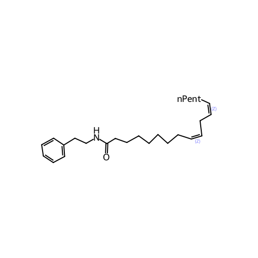 CCCCC/C=C\C/C=C\CCCCCCCC(=O)NCCc1ccccc1